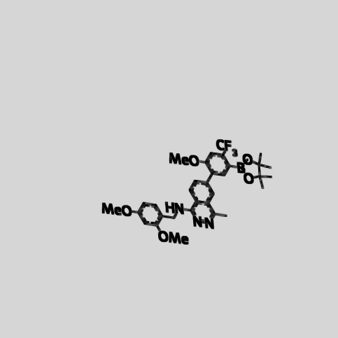 COc1ccc(CNc2nnc(C)c3cc(-c4cc(B5OC(C)(C)C(C)(C)O5)c(C(F)(F)F)cc4OC)ccc23)c(OC)c1